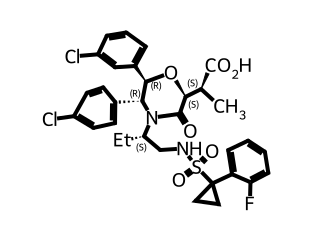 CC[C@@H](CNS(=O)(=O)C1(c2ccccc2F)CC1)N1C(=O)[C@H]([C@H](C)C(=O)O)O[C@H](c2cccc(Cl)c2)[C@H]1c1ccc(Cl)cc1